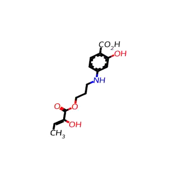 CC=C(O)C(=O)OCCCNc1ccc(C(=O)O)c(O)c1